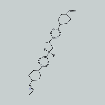 C=CC1CCC(c2ccc(C(C)OC(F)(F)c3ccc(C4CCC(/C=C/C)CC4)cc3)cc2)CC1